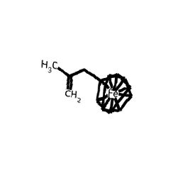 C=C(C)C[C]12[CH]3[CH]4[CH]5[CH]1[Fe]45321678[CH]2[CH]1[CH]6[CH]7[CH]28